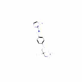 CN(C)CC(C)(C)CNc1ccc(/N=N/c2n(C)cc[n+]2C)cc1